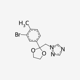 Cc1ccc(C2(Cn3cncn3)OCCO2)cc1Br